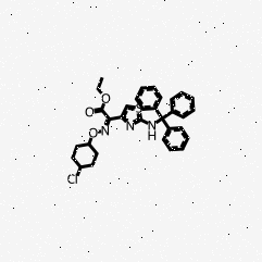 CCOC(=O)C(=NOC1CCC(Cl)CC1)c1csc(NC(c2ccccc2)(c2ccccc2)c2ccccc2)n1